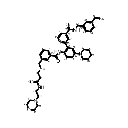 O=C(CCSCc1cccc(C(=O)Nc2ccc(N3CCCCC3)cc2-c2cc(C(=O)NCc3cccc(CF)c3)ccn2)c1)NCCN1CCOCC1